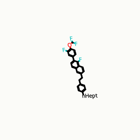 CCCCCCCc1ccc(CCc2ccc3c(F)c(-c4ccc(OC(F)F)c(F)c4)ccc3c2)cc1